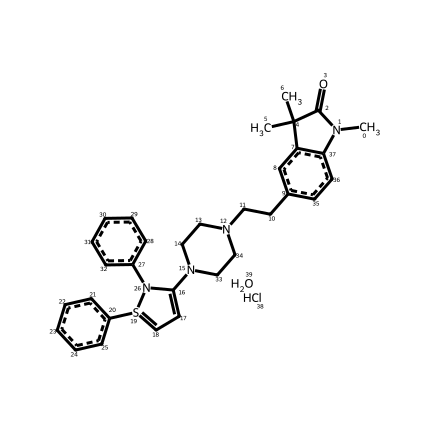 CN1C(=O)C(C)(C)c2cc(CCN3CCN(C4=CC=S(c5ccccc5)N4c4ccccc4)CC3)ccc21.Cl.O